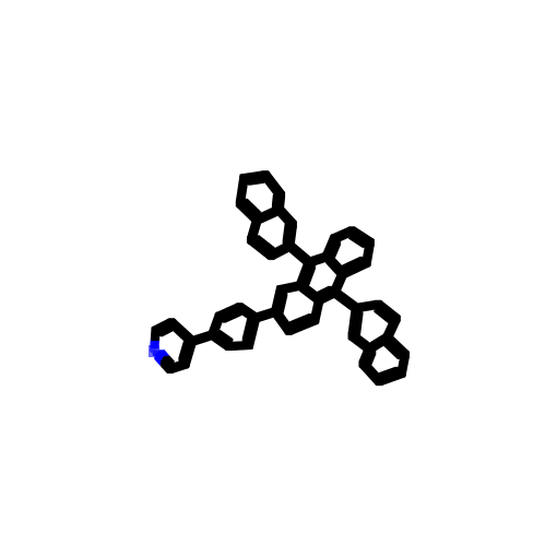 c1ccc2cc(-c3c4ccccc4c(-c4ccc5ccccc5c4)c4cc(-c5ccc(-c6ccncc6)cc5)ccc34)ccc2c1